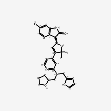 CC1(C)OC(=C2C(=O)Nc3cc(F)ccc32)C=C1c1ccnc(N(Cc2cccs2)CC2CCCO2)c1